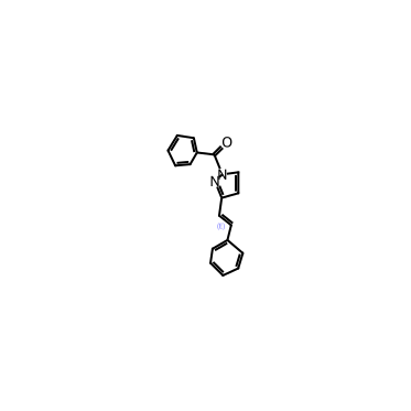 O=C(c1ccccc1)n1ccc(/C=C/c2ccccc2)n1